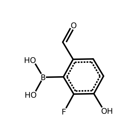 O=Cc1ccc(O)c(F)c1B(O)O